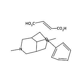 CN1CC2CN(C)CC(C1)C2Oc1ccccc1.O=C(O)/C=C/C(=O)O